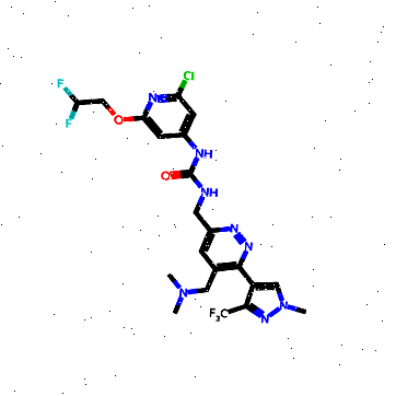 CN(C)Cc1cc(CNC(=O)Nc2cc(Cl)nc(OCC(F)F)c2)nnc1-c1cn(C)nc1C(F)(F)F